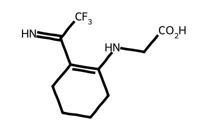 N=C(C1=C(NCC(=O)O)CCCC1)C(F)(F)F